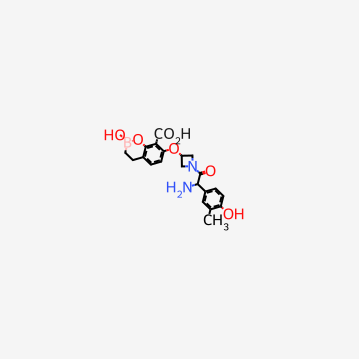 Cc1cc(C(N)C(=O)N2CC(Oc3ccc4c(c3C(=O)O)OB(O)CC4)C2)ccc1O